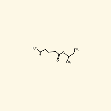 CCC(C)OC(=O)CCCNC